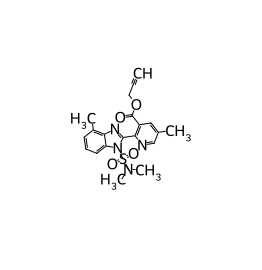 C#CCOC(=O)c1cc(C)cnc1-c1nc2c(C)cccc2n1S(=O)(=O)N(C)C